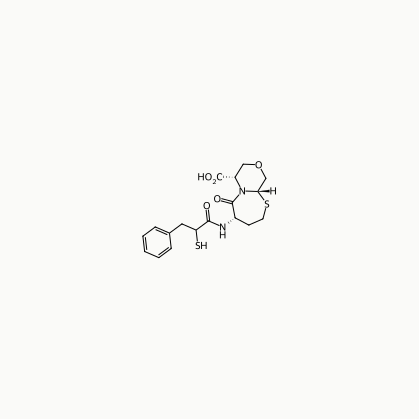 O=C(N[C@H]1CCS[C@H]2COC[C@@H](C(=O)O)N2C1=O)C(S)Cc1ccccc1